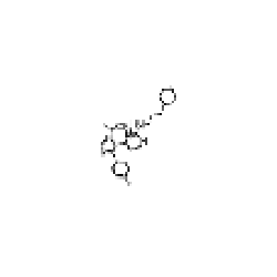 CC(n1cnc(-c2ccc(F)cc2)c1-c1ccnc(NCCCc2ccccc2)n1)C(F)(F)F